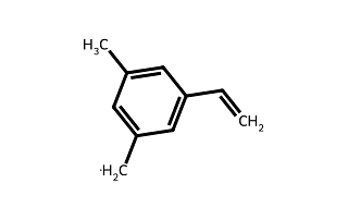 [CH2]c1cc(C)cc(C=C)c1